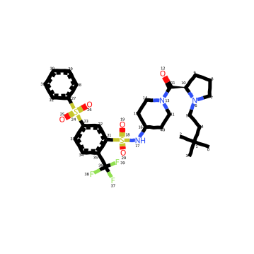 CC(C)(C)CCN1CCC[C@@H]1C(=O)N1CCC(NS(=O)(=O)c2cc(S(=O)(=O)c3ccccc3)ccc2C(F)(F)F)CC1